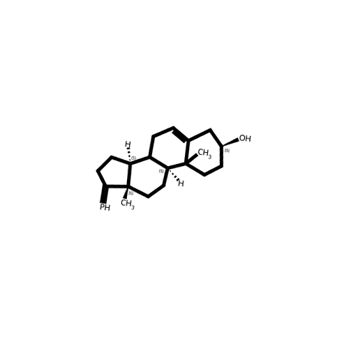 CC12CC[C@H](O)CC1=CCC1[C@@H]2CC[C@]2(C)C(=P)CC[C@@H]12